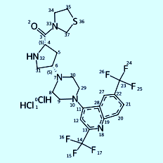 Cl.Cl.O=C([C@@H]1C[C@H](N2CCN(c3cc(C(F)(F)F)nc4ccc(C(F)(F)F)cc34)CC2)CN1)N1CCSC1